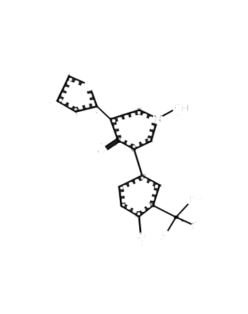 Cn1cc(-c2ccc(Cl)c(C(F)(F)F)c2)c(=O)c(-c2cccs2)c1